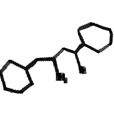 NC(CC1CCCCC1)CC(S)C1CCCCC1